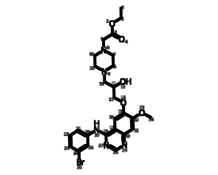 CCOC(=O)CN1CCN(CC(O)COc2cc3c(Nc4cccc(Br)c4)ncnc3cc2OC)CC1